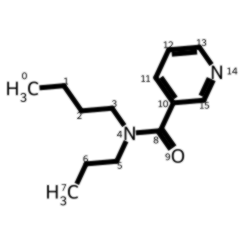 CCCCN(CCC)C(=O)c1cccnc1